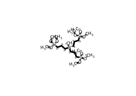 CO[Si](CCC[N+](C)(CCC[Si](OC)(OC)OC)CCC[Si](OC)(OC)OC)(OC)OC